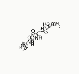 BOCN(O)CNC(=O)OCCc1c(C)[nH]c(NC(=O)NCC(N=O)OB)nc1=O